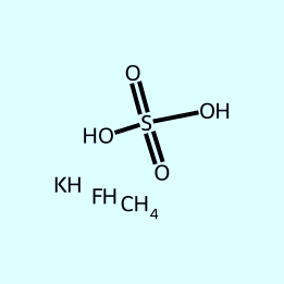 C.F.O=S(=O)(O)O.[KH]